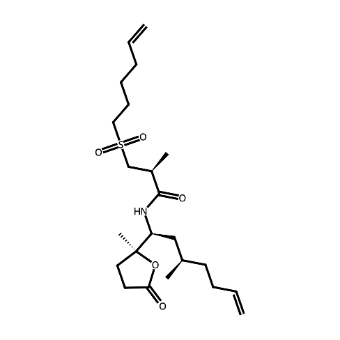 C=CCCCCS(=O)(=O)C[C@@H](C)C(=O)N[C@@H](C[C@H](C)CCC=C)[C@]1(C)CCC(=O)O1